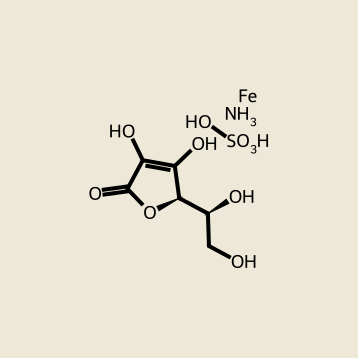 N.O=C1O[C@H]([C@@H](O)CO)C(O)=C1O.O=S(=O)(O)O.[Fe]